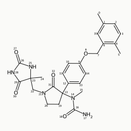 Cc1ccc(C)c(COc2ccc(C3(N(C)C(N)=O)CCN(CC4(C)NC(=O)NC4=O)C3=O)cc2)c1